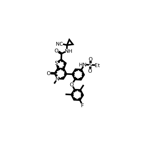 CCS(=O)(=O)Nc1ccc(Oc2c(C)cc(F)cc2C)c(-c2cn(C)c(=O)c3sc(C(=O)NC4(C#N)CC4)cc23)c1